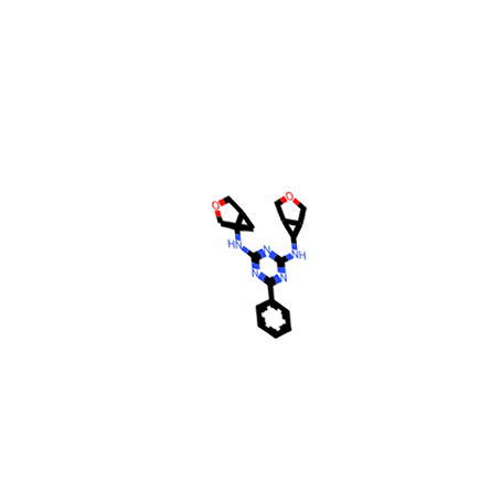 c1ccc(-c2nc(NC3C4COCC43)nc(NC34C5COC3C54)n2)cc1